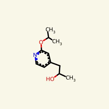 CC(O)Cc1ccnc(OC(C)C)c1